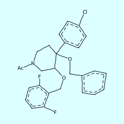 CC(=O)N1CCC(OCc2ccccc2)(c2ccc(Cl)cc2)C(OCc2c(F)cccc2F)C1